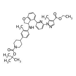 CCOC(=O)c1cnn(-c2cccc(-c3cccc4c3C(Nc3ccc(C5CCN(C(=O)OC(C)(C)C)CC5)cc3C)CO4)n2)c1C